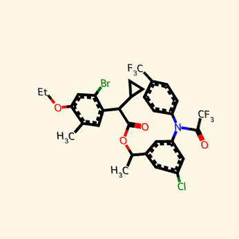 CCOc1cc(Br)c(C(C(=O)OC(C)c2cc(Cl)cc(N(C(=O)C(F)(F)F)c3ccc(C(F)(F)F)cc3)c2)C2CC2)cc1C